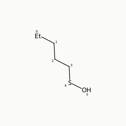 CCCCCSO